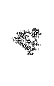 Cl.Cl.Nc1nc(=O)c2c([nH]1)NCC(CNc1ccc(C(=O)N[C@@H](CCC(=O)O)C(=O)O)cc1)N2C=O.Nc1nc(=O)c2c([nH]1)NCC(CNc1ccc(C(=O)N[C@@H](CCC(=O)O)C(=O)O)cc1)N2C=O.O=C1c2c(O)ccc(O)c2C(=O)c2c(NCCNCCO)ccc(NCCNCCO)c21